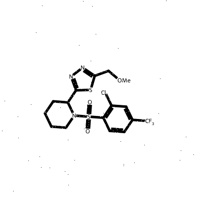 COCc1nnc(C2CCCCN2S(=O)(=O)c2ccc(C(F)(F)F)cc2Cl)s1